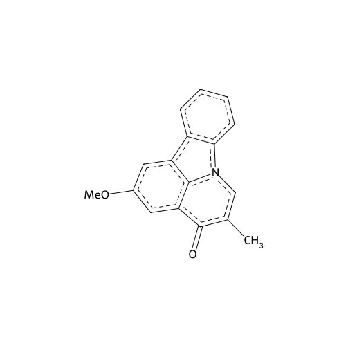 COc1cc2c(=O)c(C)cn3c4ccccc4c(c1)c23